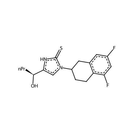 CCC[C@H](O)c1cn(C2CCc3c(F)cc(F)cc3C2)c(=S)[nH]1